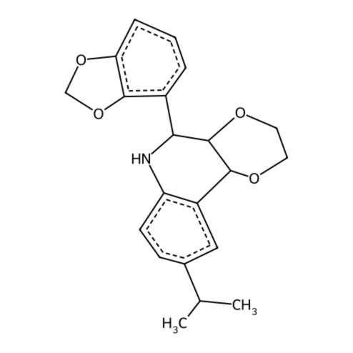 CC(C)c1ccc2c(c1)C1OCCOC1C(c1cccc3c1OCO3)N2